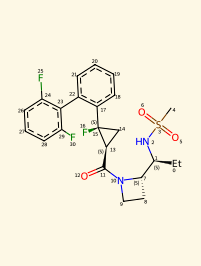 CC[C@H](NS(C)(=O)=O)[C@@H]1CCN1C(=O)[C@@H]1C[C@@]1(F)c1ccccc1-c1c(F)cccc1F